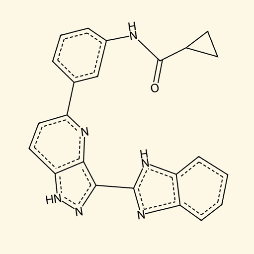 O=C(Nc1cccc(-c2ccc3[nH]nc(-c4nc5ccccc5[nH]4)c3n2)c1)C1CC1